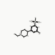 CCN1CCC(c2cc(F)cc(S(C)(=O)=O)c2)CC1